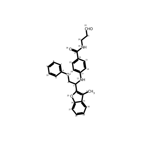 Cc1c(C(COc2ccccc2)Nc2ccc(C(=O)NCCC=O)cc2)oc2ccccc12